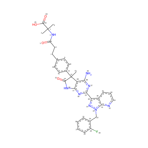 CC(C)(NC(=O)CCc1ccc(C2(C)C(=O)Nc3nc(-c4nn(Cc5ccccc5F)c5ncccc45)nc(N)c32)cc1)C(=O)O